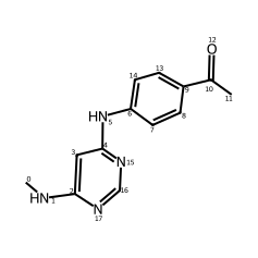 CNc1cc(Nc2ccc(C(C)=O)cc2)ncn1